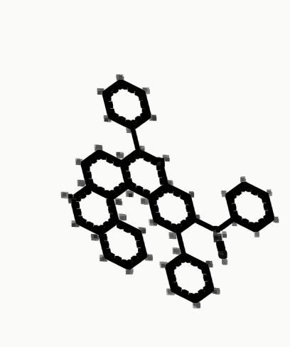 O=[PH](c1ccccc1)c1cc2nc(-c3ccccc3)c3ccc4ncc5ccccc5c4c3c2cc1-c1ccccc1